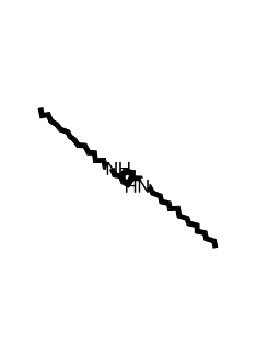 CCCCCCCCCCCCCCCCNCc1ccc(CNCCCCCCCCCCCCCCCC)cc1